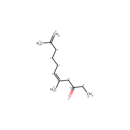 C=C(C)CCCC=C(C)CC(=O)CC